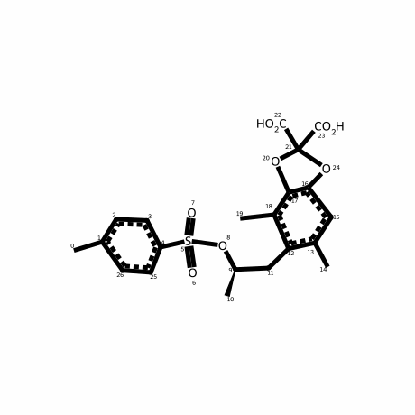 Cc1ccc(S(=O)(=O)O[C@H](C)Cc2c(C)cc3c(c2C)OC(C(=O)O)(C(=O)O)O3)cc1